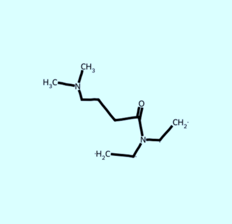 [CH2][CH]N([CH][CH2])C(=O)CCCN(C)C